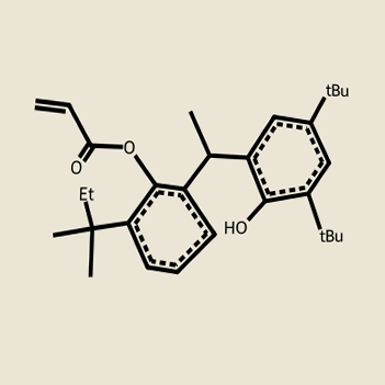 C=CC(=O)Oc1c(C(C)c2cc(C(C)(C)C)cc(C(C)(C)C)c2O)cccc1C(C)(C)CC